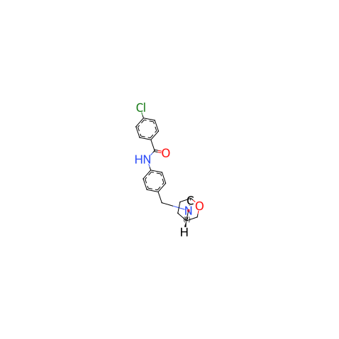 O=C(Nc1ccc(CN2CC3CC[C@@H](CO3)C2)cc1)c1ccc(Cl)cc1